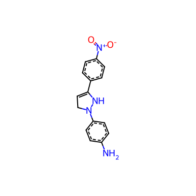 Nc1ccc(N2CC=C(c3ccc([N+](=O)[O-])cc3)N2)cc1